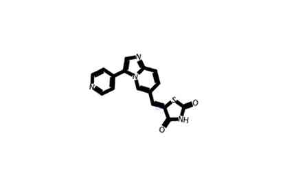 O=C1NC(=O)/C(=C/c2ccc3ncc(-c4ccncc4)n3c2)S1